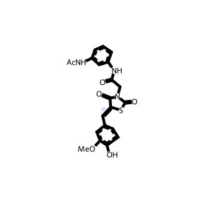 COc1cc(/C=C2\SC(=O)N(CC(=O)Nc3cccc(NC(C)=O)c3)C2=O)ccc1O